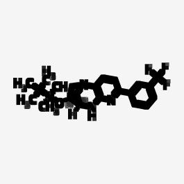 CC(C)(C)[Si](C)(C)O[C@@H]1CN2C[C@H]1Nc1nc(-c3cccc(C(F)(F)F)c3)ccc12